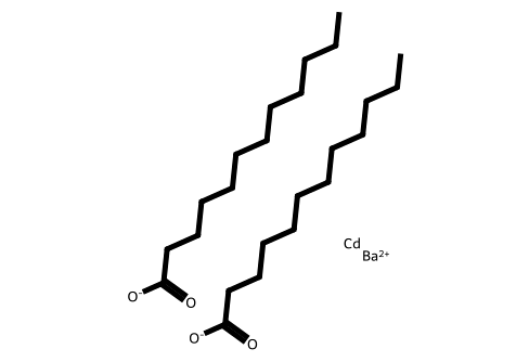 CCCCCCCCCCCC(=O)[O-].CCCCCCCCCCCC(=O)[O-].[Ba+2].[Cd]